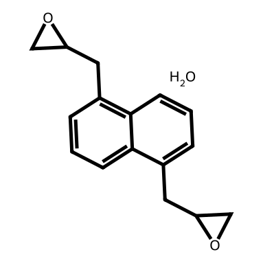 O.c1cc(CC2CO2)c2cccc(CC3CO3)c2c1